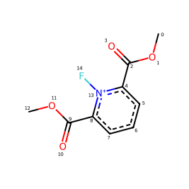 COC(=O)c1cccc(C(=O)OC)[n+]1F